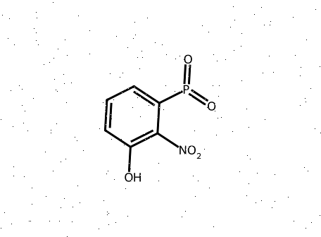 O=[N+]([O-])c1c(O)cccc1P(=O)=O